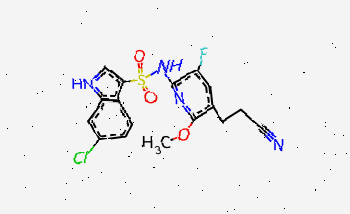 COc1nc(NS(=O)(=O)c2c[nH]c3cc(Cl)ccc23)c(F)cc1CCC#N